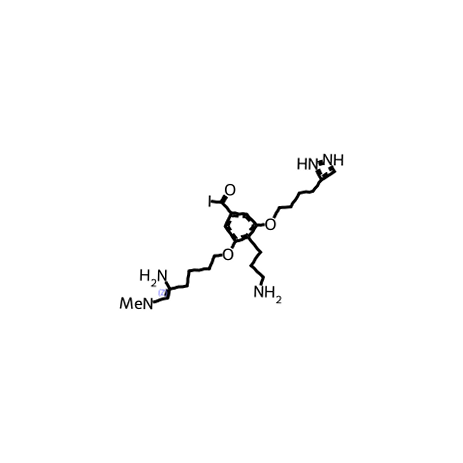 CN/C=C(\N)CCCCOc1cc(C(=O)I)cc(OCCCCc2c[nH][nH]2)c1CCCN